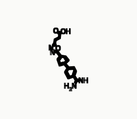 N=C(N)c1ccc(-c2ccc(-c3nnc(CCC(=O)O)o3)cc2)cc1